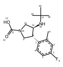 Cc1cc(F)ccc1[C@@H]1CN(C(=O)O)C[C@H]1NC(C)(C)C